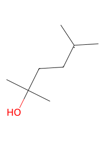 C[C](C)CCC(C)(C)O